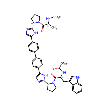 COC(=O)N[C@@H](Cc1c[nH]c2ccccc12)C(=O)N1CCCC1c1ncc(-c2ccc(-c3ccc(-c4cnc([C@@H]5CCCN5C(=O)[C@H](C)NC(=O)O)[nH]4)cc3)cc2)[nH]1